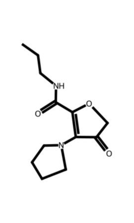 CCCNC(=O)C1=C(N2CCCC2)C(=O)CO1